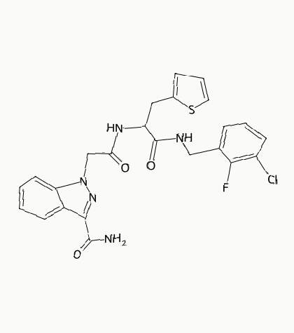 NC(=O)c1nn(CC(=O)NC(Cc2cccs2)C(=O)NCc2cccc(Cl)c2F)c2ccccc12